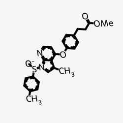 COC(=O)CCc1ccc(Oc2ccnc3c2c(C)cn3[S+]([O-])c2ccc(C)cc2)cc1